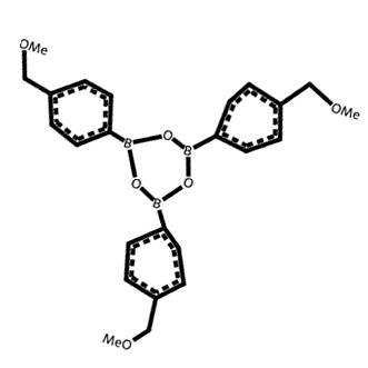 COCc1ccc(B2OB(c3ccc(COC)cc3)OB(c3ccc(COC)cc3)O2)cc1